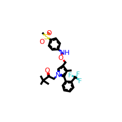 Cc1c(CONc2ccc(S(C)(=O)=O)cc2)cn(CC(=O)C(C)(C)C)c1-c1ccccc1C(F)(F)F